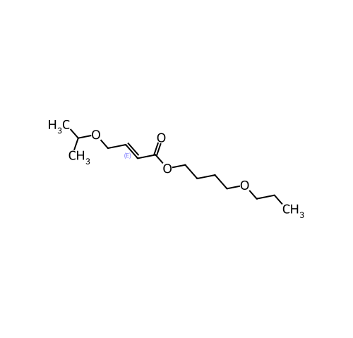 CCCOCCCCOC(=O)/C=C/COC(C)C